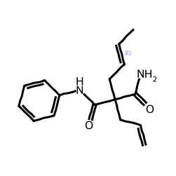 C=CCC(C/C=C/C)(C(N)=O)C(=O)Nc1ccccc1